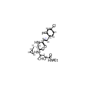 CCNC(=O)CCC(C=O)NC(=O)[C@H](CC1CC1)NC(=O)/C=C/c1ccc(Cl)cc1F